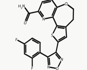 NC(=O)c1ccc2c(n1)-c1sc(-c3nonc3-c3ccc(F)cc3F)cc1CCO2